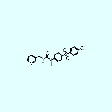 O=C(NCc1cccnc1)NC1=CC=C(S(=O)(=O)c2ccc(Cl)cc2)CC1